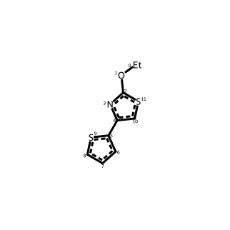 CCOc1nc(-c2cccs2)cs1